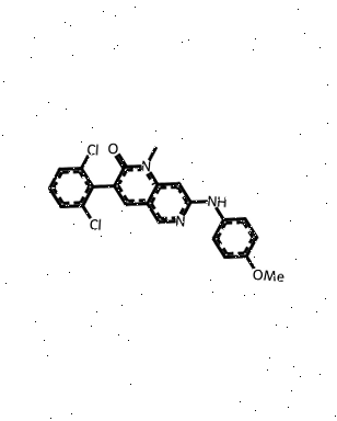 COc1ccc(Nc2cc3c(cn2)cc(-c2c(Cl)cccc2Cl)c(=O)n3C)cc1